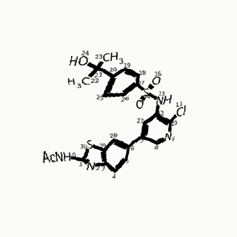 CC(=O)Nc1nc2ccc(-c3cnc(Cl)c(NS(=O)(=O)c4ccc(C(C)(C)O)cc4)c3)cc2s1